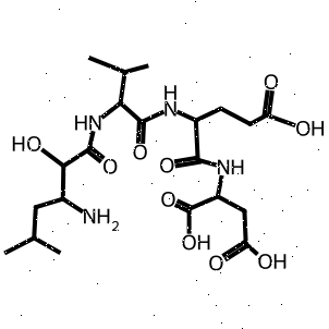 CC(C)CC(N)C(O)C(=O)NC(C(=O)NC(CCC(=O)O)C(=O)NC(CC(=O)O)C(=O)O)C(C)C